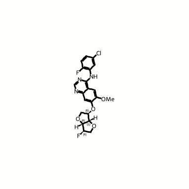 COc1cc2c(Nc3cc(Cl)ccc3F)ncnc2cc1O[C@@H]1CO[C@@H]2[C@H]1OC[C@H]2F